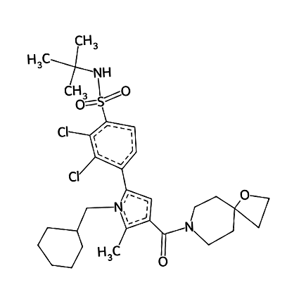 Cc1c(C(=O)N2CCC3(CCO3)CC2)cc(-c2ccc(S(=O)(=O)NC(C)(C)C)c(Cl)c2Cl)n1CC1CCCCC1